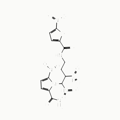 NC(=O)C1=CC=C([N+](=O)[O-])[SH]1C(C(CCNC(=O)c1ccc([N+](=O)[O-])o1)[SH](=O)=O)[SH](=O)=O